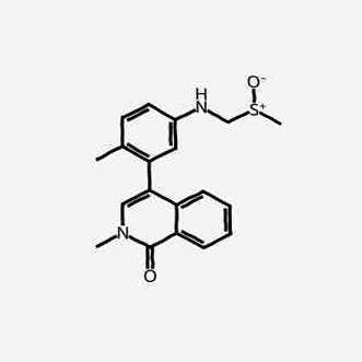 Cc1ccc(NC[S+](C)[O-])cc1-c1cn(C)c(=O)c2ccccc12